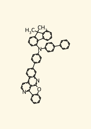 CC1(C)c2ccccc2-c2c(N(c3ccc(-c4ccccc4)cc3)c3ccc(-c4ccc5c(c4)nc4c6c(nccc65)-c5ccccc5O4)cc3)cccc21